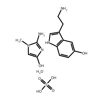 Cn1cc(O)nc1N.NCCc1c[nH]c2ccc(O)cc12.O.O=S(=O)(O)O